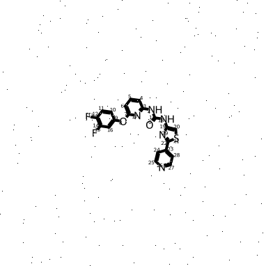 O=C(Nc1cccc(Oc2ccc(F)c(F)c2)n1)Nc1csc(-c2ccncc2)n1